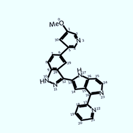 COc1cncc(-c2ccc3[nH]nc(-c4cc5c(-c6ccccn6)nccc5[nH]4)c3c2)c1